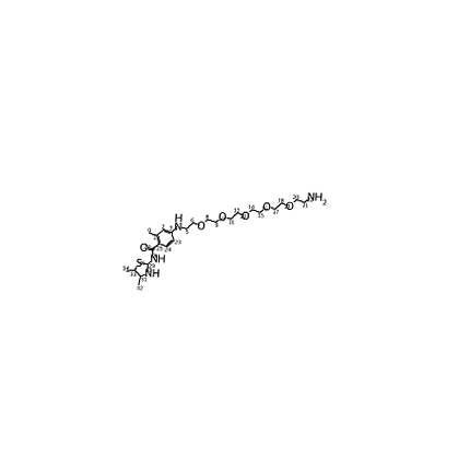 Cc1cc(NCCOCCOCCOCCOCCOCCN)ccc1C(=O)NC1NC(C)C(C)S1